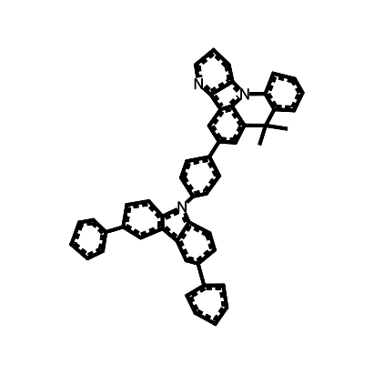 CC1(C)c2ccccc2-n2c3cccnc3c3cc(-c4ccc(-n5c6ccc(-c7ccccc7)cc6c6cc(-c7ccccc7)ccc65)cc4)cc1c32